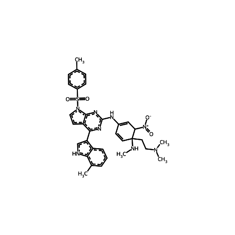 CNC1(CCN(C)C)C=CC(Nc2nc(-c3c[nH]c4c(C)cccc34)c3ccn(S(=O)(=O)c4ccc(C)cc4)c3n2)=CC1[N+](=O)[O-]